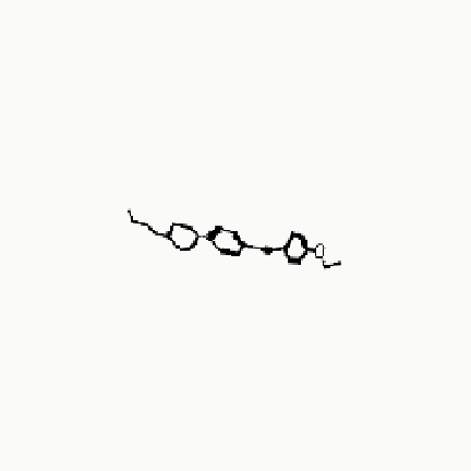 CCCC[C@H]1CC[C@H](c2ccc(C#Cc3ccc(OCC)cc3)cc2)CC1